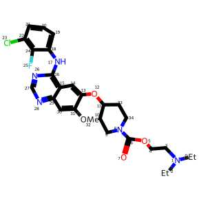 CCN(CC)CCOC(=O)N1CCC(Oc2cc3c(Nc4cccc(Cl)c4F)ncnc3cc2OC)CC1